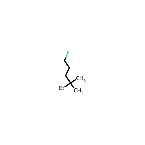 CCC(C)(C)CCCF